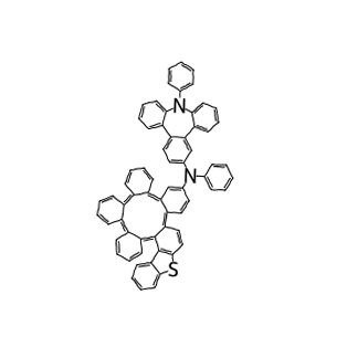 c1ccc(N(c2ccc3c(c2)-c2ccccc2N(c2ccccc2)c2ccccc2-3)c2ccc3c(c2)c2ccccc2c2ccccc2c2ccccc2c2c3ccc3sc4ccccc4c32)cc1